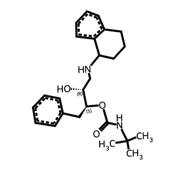 CC(C)(C)NC(=O)O[C@@H](Cc1ccccc1)[C@H](O)CNC1CCCc2ccccc21